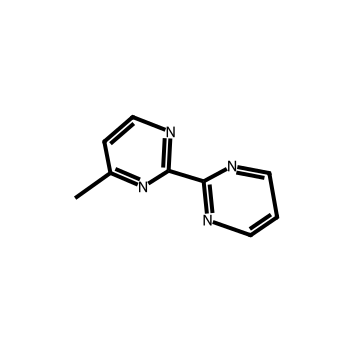 Cc1ccnc(-c2ncccn2)n1